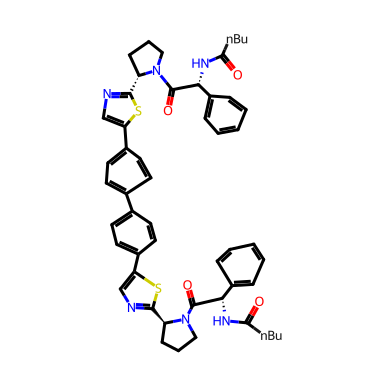 CCCCC(=O)N[C@H](C(=O)N1CCC[C@H]1c1ncc(-c2ccc(-c3ccc(-c4cnc([C@@H]5CCCN5C(=O)[C@H](NC(=O)CCCC)c5ccccc5)s4)cc3)cc2)s1)c1ccccc1